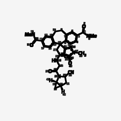 CNC(=O)c1ccc2c(c1)CCc1cc(C(=O)NC)ccc1C2(C[C@H](C)NCC(=O)N1C(C#N)C[C@@H]2C[C@@H]21)c1nn(C)c(=O)[nH]1